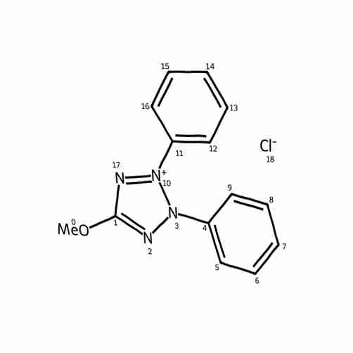 COc1nn(-c2ccccc2)[n+](-c2ccccc2)n1.[Cl-]